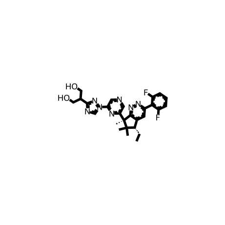 CC[C@H]1c2cc(-c3c(F)cccc3F)nnc2[C@](C)(c2cncc(-n3cnc(C(CO)CO)n3)n2)C1(C)C